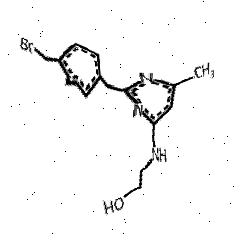 Cc1cc(NCCO)nc(-c2ccc(Br)cc2)n1